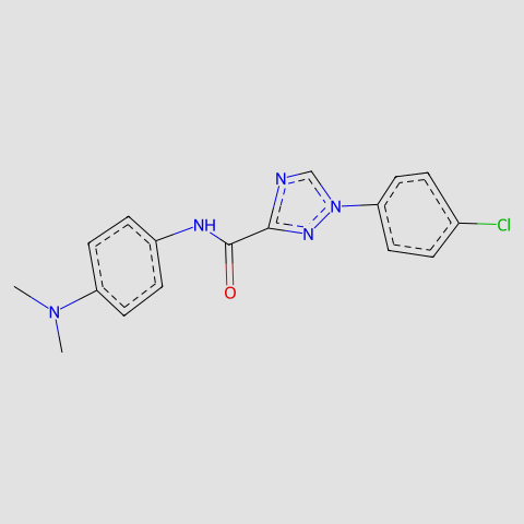 CN(C)c1ccc(NC(=O)c2ncn(-c3ccc(Cl)cc3)n2)cc1